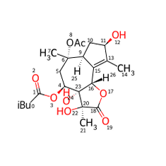 CCC(C)C(=O)O[C@H]1C[C@](C)(OC(C)=O)[C@H]2C[C@@H](O)C(C)=C2[C@@H]2OC(=O)[C@@](C)(O)[C@@]12O